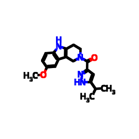 COc1ccc2[nH]c3c(c2c1)CN(C(=O)c1cc(C(C)C)[nH]n1)CC3